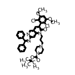 COc1cc(OC)c(Cl)c(-c2cc3cnc(N=C(c4ccccc4)c4ccccc4)cc3n(CCCN3CCN(C(=O)OC(C)(C)C)CC3)c2=O)c1Cl